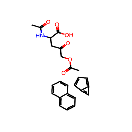 CC(=O)NC(CC(=O)COC(C)=O)C(=O)O.c1cc2cc-2c1.c1ccc2ccccc2c1